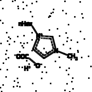 CCCCCC[n+]1ccn(C)c1.O=C([O-])[O-].[H+]